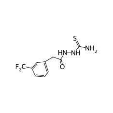 NC(=S)NNC(=O)Cc1cccc(C(F)(F)F)c1